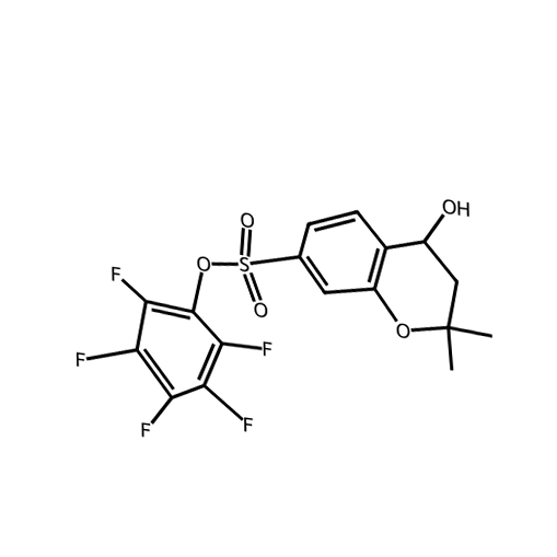 CC1(C)CC(O)c2ccc(S(=O)(=O)Oc3c(F)c(F)c(F)c(F)c3F)cc2O1